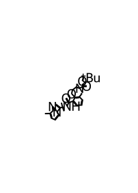 Cc1cccn2c(C(C)(C)NC(=O)c3cccc4c3OCCN(C(=O)OC(C)(C)C)C4)cnc12